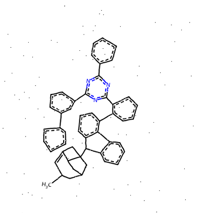 CC1C=C2CC3(C4c5ccccc5-c5c(-c6ccccc6-c6nc(-c7ccccc7)nc(-c7cccc(-c8ccccc8)c7)n6)cccc54)CC(C1)CC23